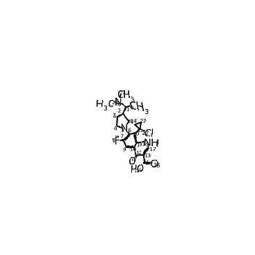 CC(C1CCN(c2c(F)cc3c(=O)c(C(=O)O)c[nH]c3c2C2(Cl)CC2)C1)N(C)C